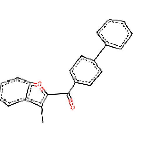 Cc1c(C(=O)c2ccc(-c3ccccc3)cc2)oc2ccccc12